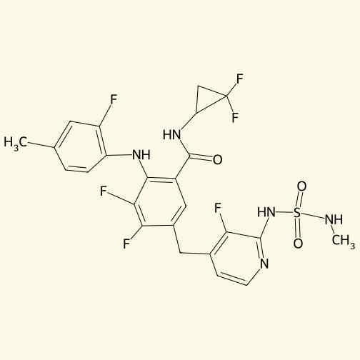 CNS(=O)(=O)Nc1nccc(Cc2cc(C(=O)NC3CC3(F)F)c(Nc3ccc(C)cc3F)c(F)c2F)c1F